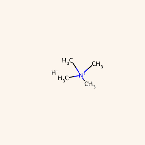 C[N+](C)(C)C.[H-]